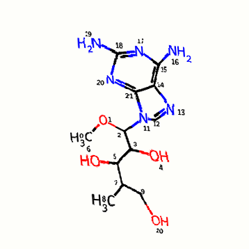 COC(C(O)C(O)C(C)CO)n1cnc2c(N)nc(N)nc21